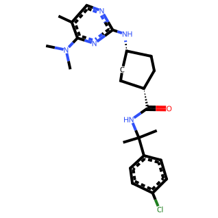 Cc1cnc(N[C@H]2CC[C@@H](C(=O)NC(C)(C)c3ccc(Cl)cc3)CC2)nc1N(C)C